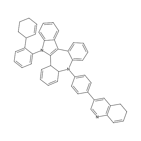 C1=CC2c3c(c4ccccc4n3-c3ccccc3C3C=CCCC3)-c3ccccc3N(c3ccc(-c4cnc5c(c4)CCC=C5)cc3)C2C=C1